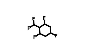 FC1CC(F)C(C(F)F)[C@@H](F)C1